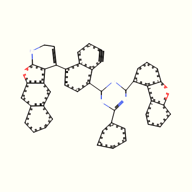 c1ccc2c(C3=CCNc4oc5cc6ccccc6cc5c43)ccc(C3NC(c4ccccc4)=NC(c4cccc5oc6ccccc6c45)N3)c2c#1